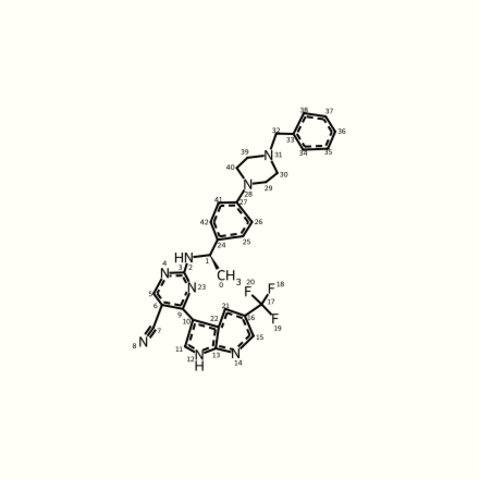 C[C@@H](Nc1ncc(C#N)c(-c2c[nH]c3ncc(C(F)(F)F)cc23)n1)c1ccc(N2CCN(Cc3ccccc3)CC2)cc1